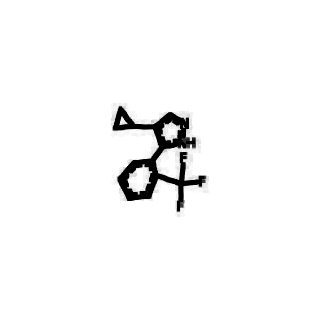 FC(F)(F)c1ccccc1-c1[nH]ncc1C1CC1